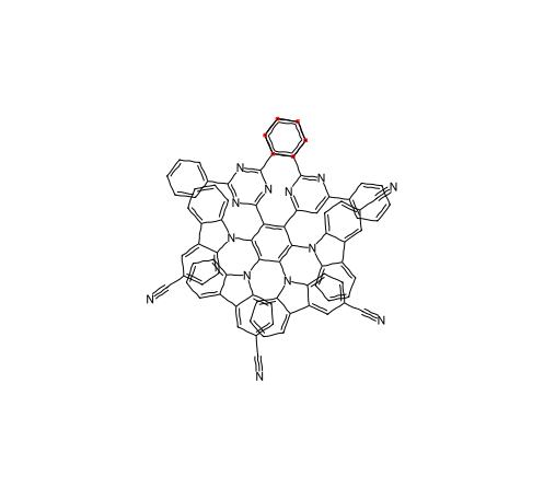 N#Cc1ccc2c(c1)c1ccccc1n2-c1c(-c2cc(-c3ccccc3)nc(-c3ccccc3)n2)c(-c2nc(-c3ccccc3)nc(-c3ccccc3)n2)c(-n2c3ccccc3c3cc(C#N)ccc32)c(-n2c3ccccc3c3cc(C#N)ccc32)c1-n1c2ccccc2c2cc(C#N)ccc21